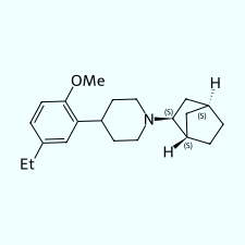 CCc1ccc(OC)c(C2CCN([C@H]3C[C@H]4CC[C@H]3C4)CC2)c1